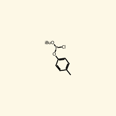 Cc1ccc(OP(Cl)OCC(C)C)cc1